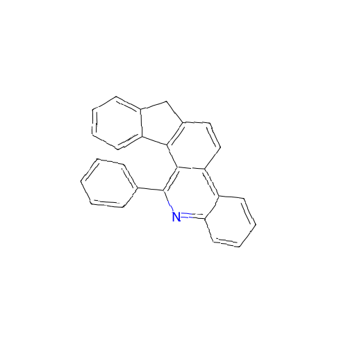 c1ccc(-c2nc3ccccc3c3ccc4c(c23)-c2ccccc2C4)cc1